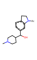 CC(=O)N1CCc2ccc(C(O)C3CCN(C)CC3)cc21